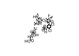 CCNc1nc(Cl)nc(NC(C)C)n1.C[S+](C)C.Cc1nn(-c2cc(NS(C)(=O)=O)c(Cl)cc2Cl)c(=O)n1C(F)F.O=C(O)CNCP(=O)([O-])O